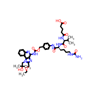 CCOCc1nc2c(NC(=O)OCc3ccc(NC(=O)[C@H](CCCCNC(N)=O)NC(=O)[C@@H](NC(=O)CCCC(=O)O)C(C)C)cc3)nc3ccccc3c2n1CC(C)(C)O